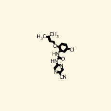 CC(C)=CCOc1ccc(Cl)cc1NC(=O)Nc1cnc(C#N)cn1